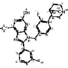 Cc1nc(O)nc2c1nc(-c1cncc(F)c1)n2Cc1ccc(C2CN3CCC2CC3)c(F)c1